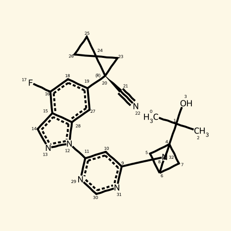 CC(C)(O)C12CC(C1)N(c1cc(-n3ncc4c(F)cc([C@@]5(C#N)CC56CC6)cc43)ncn1)C2